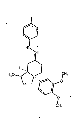 COc1ccc([C@@]23CC/C(=[SH]/Nc4ccc(F)cc4)C[C@@H]2N(C)CC3)cc1OC